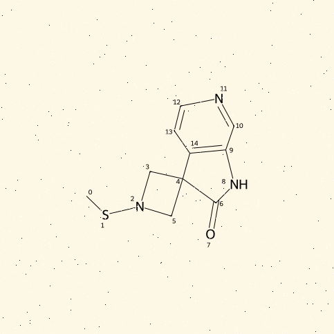 CSN1CC2(C1)C(=O)Nc1cnccc12